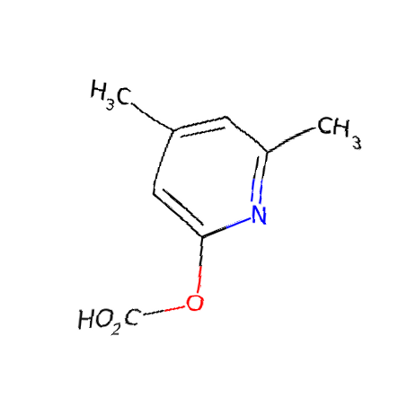 Cc1cc(C)nc(OC(=O)O)c1